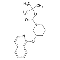 CC(C)(C)OC(=O)N1CCCC(Oc2nccc3ccccc23)C1